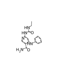 CCNC(=O)Nc1cc(Nc2ccccc2)c(C(N)=O)cn1